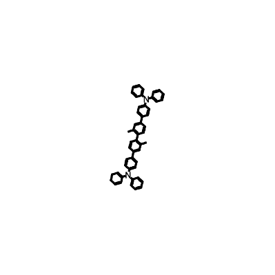 Cc1cc(-c2ccc(N(C3=CCCC=C3)c3ccccc3)cc2)ccc1-c1ccc(-c2ccc(N(c3ccccc3)c3ccccc3)cc2)cc1C